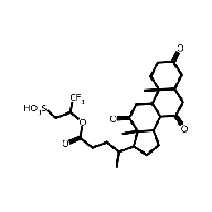 CC(CCC(=O)OC(CS(=O)(=O)O)C(F)(F)F)C1CCC2C3C(=O)CC4CC(=O)CCC4(C)C3CC(=O)C12C